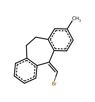 Cc1ccc2c(c1)CCc1ccccc1C2=CBr